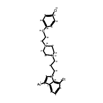 CCc1cccc2c(C(C)=O)cn(CCCN3CCN(CCOc4ccc(Cl)cc4)CC3)c12